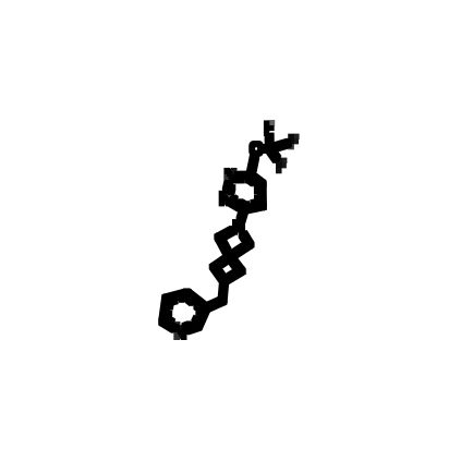 FC(F)(F)Oc1ccc(N2CC3(CC(Cc4cccnc4)C3)C2)nn1